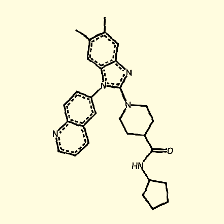 Cc1cc2nc(N3CCC(C(=O)NC4CCCC4)CC3)n(-c3ccc4ncccc4c3)c2cc1C